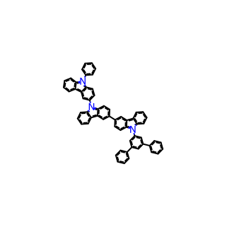 c1ccc(-c2cc(-c3ccccc3)cc(-n3c4ccccc4c4cc(-c5ccc6c(c5)c5ccccc5n6-c5ccc6c(c5)c5ccccc5n6-c5ccccc5)ccc43)c2)cc1